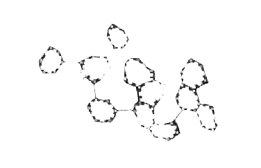 c1ccc(-c2cc(-c3ccccc3)nc(-c3cccc(-c4nc5cccc(-c6cc7ccccc7c7ccccc67)c5c5sc6ccccc6c45)c3)n2)cc1